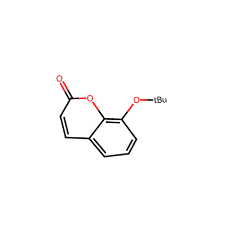 CC(C)(C)Oc1cccc2ccc(=O)oc12